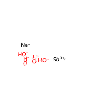 [Na+].[OH-].[OH-].[OH-].[OH-].[Sb+3]